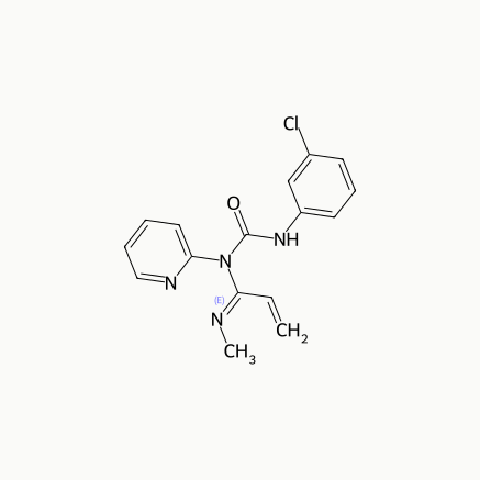 C=C/C(=N\C)N(C(=O)Nc1cccc(Cl)c1)c1ccccn1